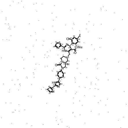 COC(=O)C1=C(CN2CCN3C(=O)N(c4ccc(-c5cnc(-c6nccs6)[nH]5)cc4)C[C@@H]3C2)NC(c2nccs2)=N[C@H]1c1ccc(F)cc1Cl